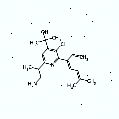 C=C/C(=C\C=C(C)C)c1nc(C(C)CN)cc(C(C)(C)O)c1Cl